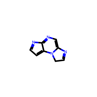 C1=Nc2cnc3nccc-3n2C1